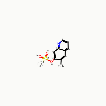 N#Cc1cc2cccnc2cc1OS(=O)(=O)C(F)(F)F